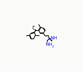 C=C=C(C1=CC(C)=CCC1C)c1cc(CCC2(CN)CN2)ccc1C